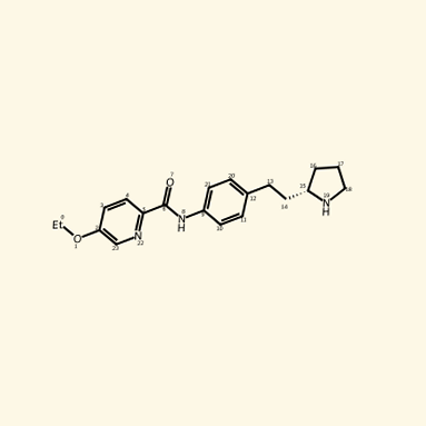 CCOc1ccc(C(=O)Nc2ccc(CC[C@@H]3CCCN3)cc2)nc1